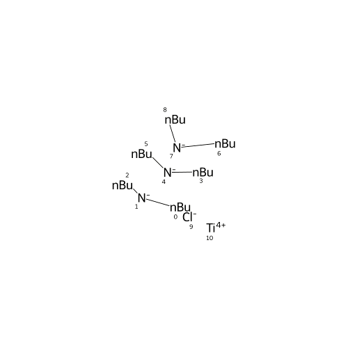 CCCC[N-]CCCC.CCCC[N-]CCCC.CCCC[N-]CCCC.[Cl-].[Ti+4]